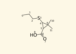 CCCSC1C(C(=O)O)C1(C)C